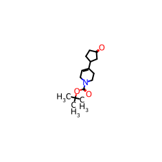 CC(C)(C)OC(=O)N1CC=C(C2CCC(=O)C2)CC1